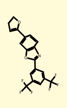 FC(F)(F)c1cc(-c2nc3ccc(C4=CCCO4)cc3o2)cc(C(F)(F)F)c1